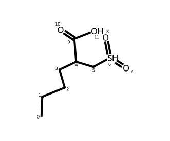 CCCCC(C[SH](=O)=O)C(=O)O